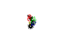 C=C(CC(C)(Cl)C(=O)OC)c1sc2ccccc2[n+]1C.[Cl-]